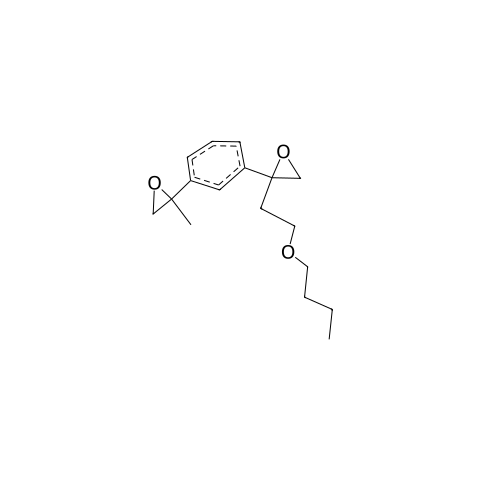 CCCCOCCC1(c2cccc(C3(C)CO3)c2)CO1